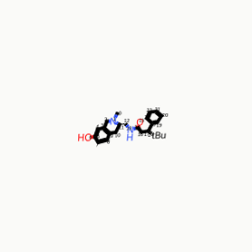 CN1Cc2cc(O)ccc2C[C@H]1CNC(=O)CC(c1ccccc1)C(C)(C)C